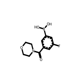 O=C(c1cc(F)cc(B(O)O)c1)N1CCOCC1